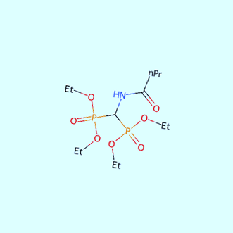 CCCC(=O)NC(P(=O)(OCC)OCC)P(=O)(OCC)OCC